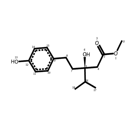 COC(=O)C[C@@](O)(CCc1ccc(O)cc1)C(C)C